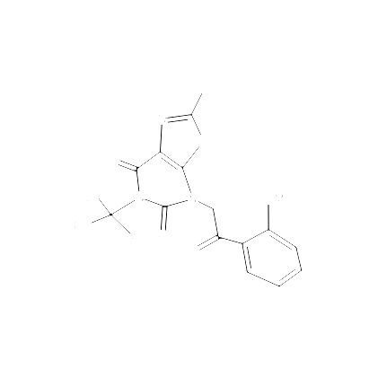 COc1ccccc1C(=O)Cn1c(=O)n(C(C)(C)C(=O)O)c(=O)c2nc(Br)sc21